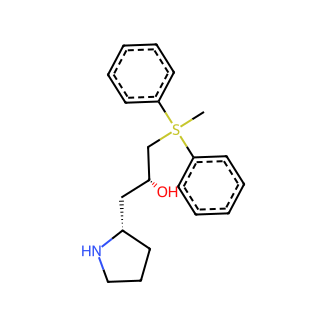 CS(C[C@H](O)C[C@@H]1CCCN1)(c1ccccc1)c1ccccc1